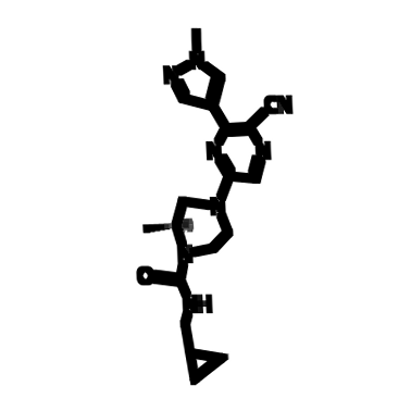 C[C@@H]1CN(c2cnc(C#N)c(-c3cnn(C)c3)n2)CCN1C(=O)NCC1CC1